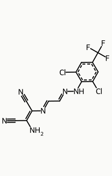 N#CC(N)=C(C#N)N=CC=NNc1c(Cl)cc(C(F)(F)F)cc1Cl